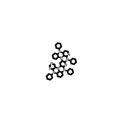 c1ccc(N2c3ccccc3B3c4cc5c(nc4N(c4ccccc4)c4nccc2c43)N(c2ccccc2)c2cccc3c2B5c2cncnc2N3c2ccccc2)cc1